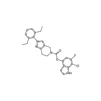 CCc1cccc(CC)c1-n1cc2c(n1)CCN(C(=O)Oc1cc(F)c(Cl)c3[nH]ccc13)C2